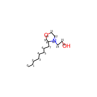 CCCCCCCCC1COCCN1CCO